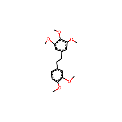 COc1ccc(CCc2cc(OC)c(OC)c(OC)c2)cc1OC